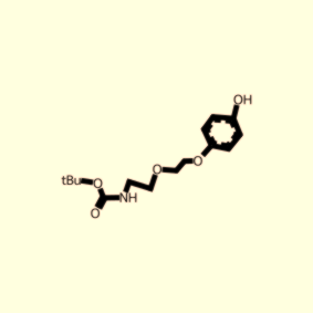 CC(C)(C)OC(=O)NCCOCCOc1ccc(O)cc1